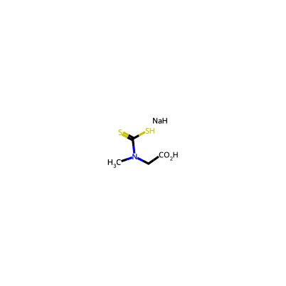 CN(CC(=O)O)C(=S)S.[NaH]